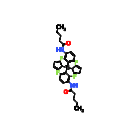 CCCCC(=O)Nc1ccc(F)[c]([Ti]([c]2c(F)ccc(NC(=O)CCCC)c2F)([CH]2C=CC=C2)[CH]2C=CC=C2)c1F